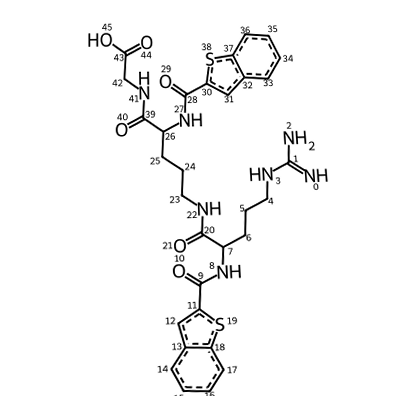 N=C(N)NCCCC(NC(=O)c1cc2ccccc2s1)C(=O)NCCCC(NC(=O)c1cc2ccccc2s1)C(=O)NCC(=O)O